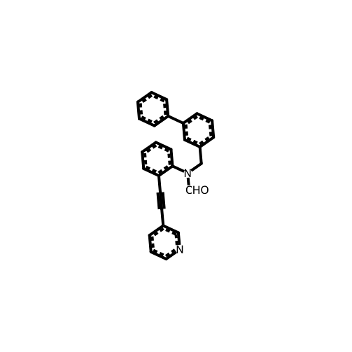 O=CN(Cc1cccc(-c2ccccc2)c1)c1ccccc1C#Cc1cccnc1